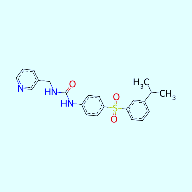 CC(C)c1cccc(S(=O)(=O)c2ccc(NC(=O)NCc3cccnc3)cc2)c1